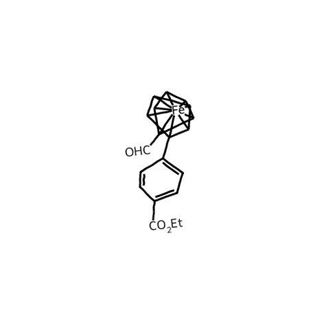 CCOC(=O)c1ccc([C]23[CH]4[CH]5[CH]6[CH]2[Fe]56432789[CH]3[CH]2[CH]7[C]8(C=O)[CH]39)cc1